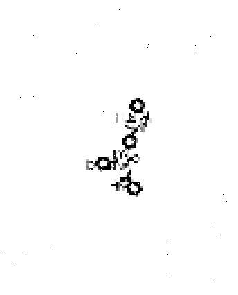 COc1ccc(C(=O)N[C@@H](Cc2c[nH]c3ccccc23)C(=O)Nc2ccc(C(=O)N=[N+]=Nc3ccccc3N)cc2)cc1